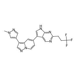 Cn1cc(-c2cnn3ccc(-c4c[nH]c5nc(CCC(F)(F)F)ncc45)cc23)cn1